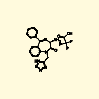 N[C@@H]1N=C(c2ccccc2)c2ccccc2N(Cc2nnn[nH]2)C1=O.O=C(O)C(F)(F)F